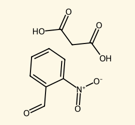 O=C(O)CC(=O)O.O=Cc1ccccc1[N+](=O)[O-]